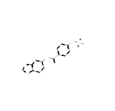 CC(C)(C)S(=O)(=O)Nc1ccc(C(=O)Nc2ccc3ncsc3c2)cc1